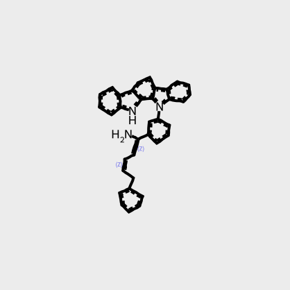 N/C(=C\C=C/Cc1ccccc1)c1cccc(-n2c3ccccc3c3ccc4c5ccccc5[nH]c4c32)c1